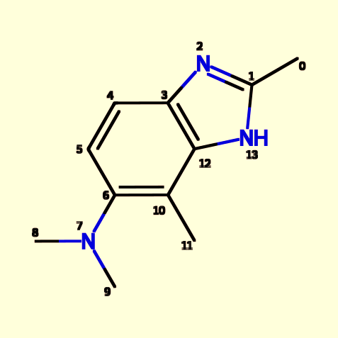 Cc1nc2ccc(N(C)C)c(C)c2[nH]1